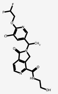 CC(c1cnc(OCC(F)F)c(Cl)c1)N1Cc2c(ccnc2C(=O)NCCO)C1=O